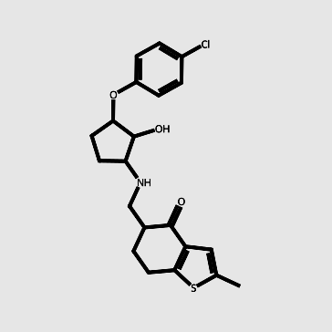 Cc1cc2c(s1)CCC(CNC1CCC(Oc3ccc(Cl)cc3)C1O)C2=O